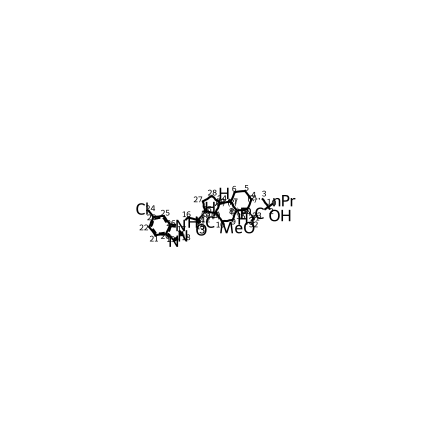 CCCC(O)(C[C@H]1CC[C@@H]2[C@H](CC[C@]3(C)[C@@H](C(=O)Cn4nnc5ccc(Cl)cc54)CC[C@@H]23)[C@@H]1COC)C(F)(F)F